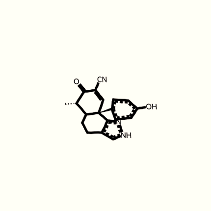 C[C@@H]1C(=O)C(C#N)=C[C@]2(c3ccc(O)cc3)c3n[nH]cc3CCC12